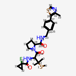 CSC(C)(C)C(NC(=O)C1(F)CC1)C(=O)N1CCCC1C(=O)NCc1ccc(-c2scnc2C)cc1